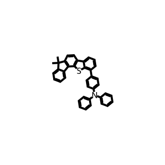 CC1(C)c2ccccc2-c2c1ccc1c2sc2c(-c3ccc(N(c4ccccc4)c4ccccc4)cc3)cccc21